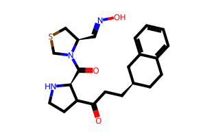 O=C(CC[C@@H]1CCc2ccccc2C1)C1CCN[C@H]1C(=O)N1CSC[C@H]1C=NO